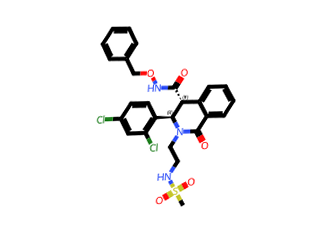 CS(=O)(=O)NCCN1C(=O)c2ccccc2[C@@H](C(=O)NOCc2ccccc2)[C@@H]1c1ccc(Cl)cc1Cl